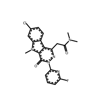 CN(C)C(=O)Cc1nn(-c2cccc(F)n2)c(=O)c2c1c1ccc(Cl)cc1n2C